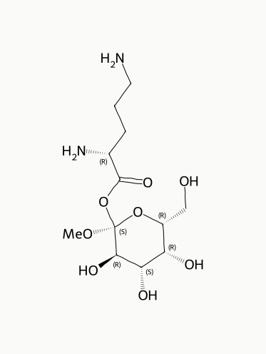 CO[C@]1(OC(=O)[C@H](N)CCCN)O[C@H](CO)[C@H](O)[C@H](O)[C@H]1O